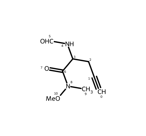 C#CCC(NC=O)C(=O)N(C)OC